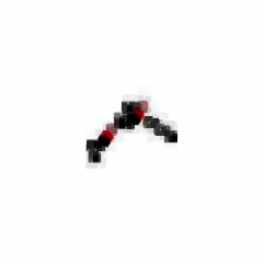 [Co].[Co].[LiH].[LiH].[Ni].[Ni].[O]=[AlH].[O]=[Mn]